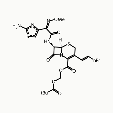 CCC/C=C/C1=C(C(=O)OCOC(=O)C(C)(C)C)N2C(=O)[C@@H](NC(=O)/C(=N\OC)c3csc(N)n3)[C@H]2SC1